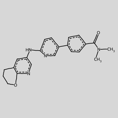 CN(C)C(=O)c1ccc(-c2ccc(Nc3cnc4c(c3)CCCO4)nc2)cc1